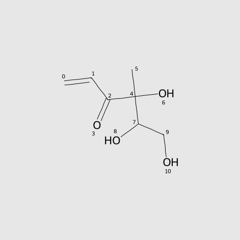 C=CC(=O)C(C)(O)C(O)CO